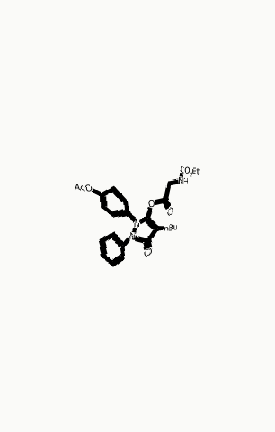 CCCCc1c(OC(=O)CNC(=O)OCC)n(-c2ccc(OC(C)=O)cc2)n(-c2ccccc2)c1=O